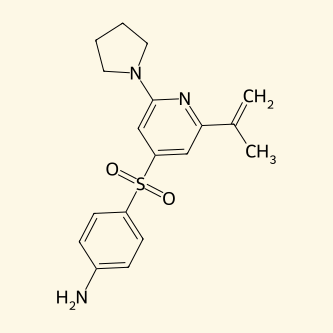 C=C(C)c1cc(S(=O)(=O)c2ccc(N)cc2)cc(N2CCCC2)n1